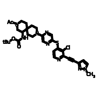 CC(=O)N1CCC2(CCN(c3cnc(Sc4ccnc(C#Cc5ccn(C)n5)c4Cl)cn3)CC2)C(NC(=O)OC(C)(C)C)C1